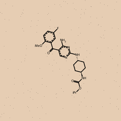 COc1ccc(F)cc1C(=O)c1cnc(N[C@H]2CC[C@H](NC(=O)OC(C)C)CC2)nc1N